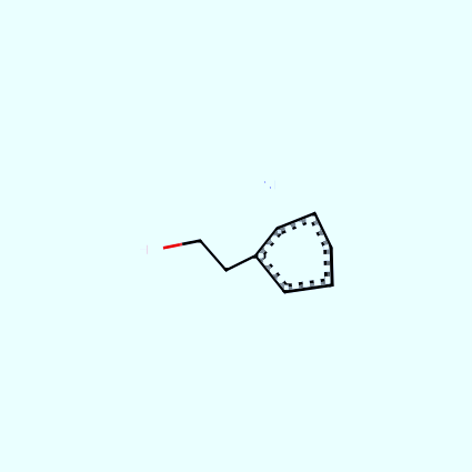 N.OCCc1ccccc1